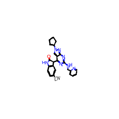 N#Cc1ccc2c(c1)C(c1nc(NCc3ccccn3)nc3nn(C4CCCC4)cc13)C(=O)N2